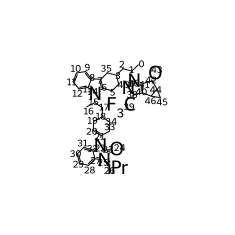 CC(CC1CCc2c(c3ccccc3n2C(C)CC2CC=C(n3c(=O)n(C(C)C)c4ccccc43)CC2)C1)n1nc(C(F)(F)F)c2c1C(=O)C1CC21